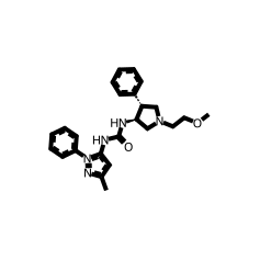 COCCN1C[C@@H](NC(=O)Nc2cc(C)nn2-c2ccccc2)[C@H](c2ccccc2)C1